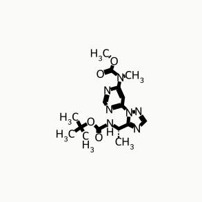 COC(=O)N(C)c1cc(-n2ncnc2[C@H](C)NC(=O)OC(C)(C)C)ncn1